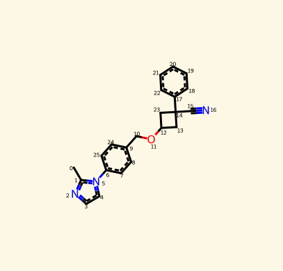 Cc1nccn1-c1ccc(COC2CC(C#N)(c3ccccc3)C2)cc1